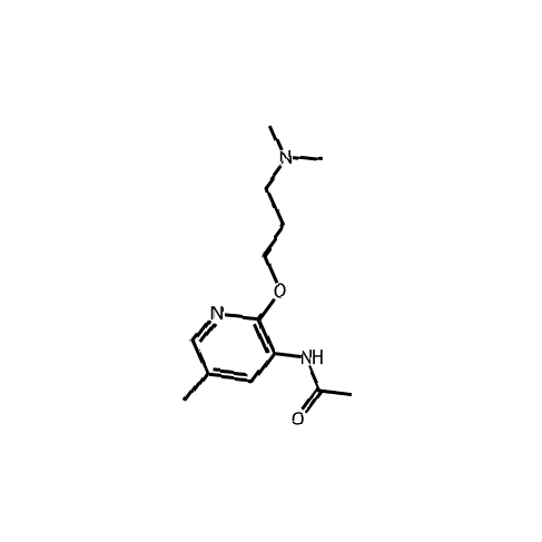 CC(=O)Nc1cc(C)cnc1OCCCN(C)C